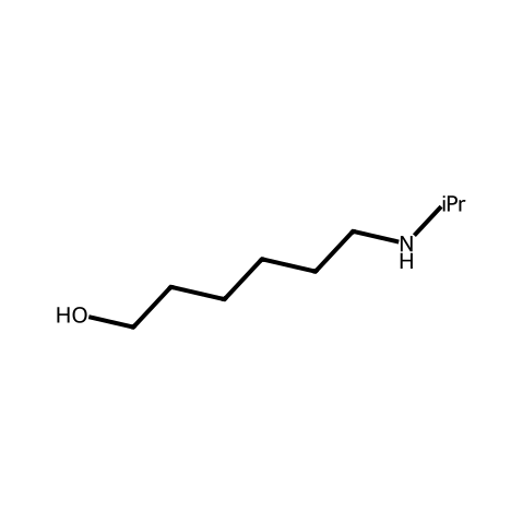 CC(C)NCCCCCCO